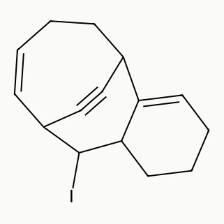 IC1C2C#CC(CC/C=C\2)C2=CCCCC21